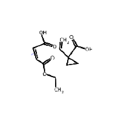 C=CC1(C(=O)O)CC1.CCOC(=O)/C=C\C(=O)O